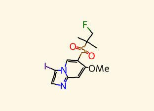 COc1cc2ncc(I)n2cc1S(=O)(=O)C(C)(C)CF